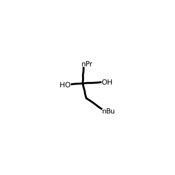 CCCCCC(O)(O)CCC